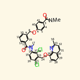 CNC(=O)c1ccc(OCc2cccc(C(=O)N(C)c3ccc(Cl)c(COc4cccc5ccc(C)nc45)c3Cl)c2)cc1